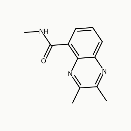 CNC(=O)c1cccc2nc(C)c(C)nc12